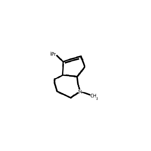 CC(C)C1=CCC2C1CCCN2C